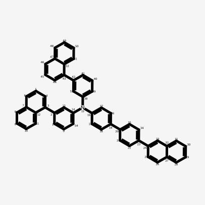 c1cc(-c2cccc3ccccc23)cc(N(c2ccc(-c3ccc(-c4ccc5ccccc5c4)cc3)cc2)c2cccc(-c3cccc4ccccc34)c2)c1